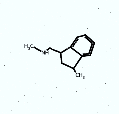 CNCC1CC(C)C2=C=C=CC=C21